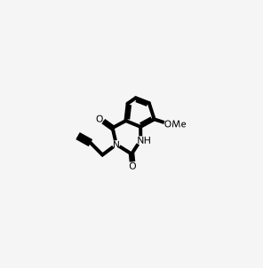 C#CCn1c(=O)[nH]c2c(OC)cccc2c1=O